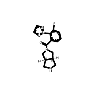 O=C(c1cccc(F)c1-n1nccn1)N1C[C@H]2CNC[C@H]2C1